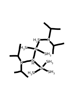 CC(C)N([SiH2][Si]([SiH3])([SiH3])[SiH](N(C(C)C)C(C)C)[Si]([SiH3])([SiH3])[SiH3])C(C)C